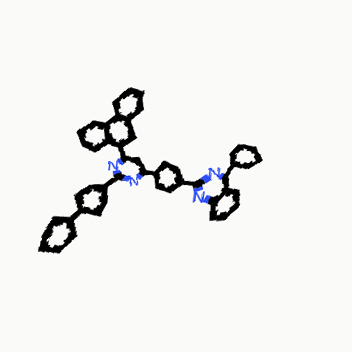 c1ccc(-c2ccc(-c3nc(-c4ccc(-c5nc(-c6ccccc6)c6ccccc6n5)cc4)cc(-c4cc5ccccc5c5ccccc45)n3)cc2)cc1